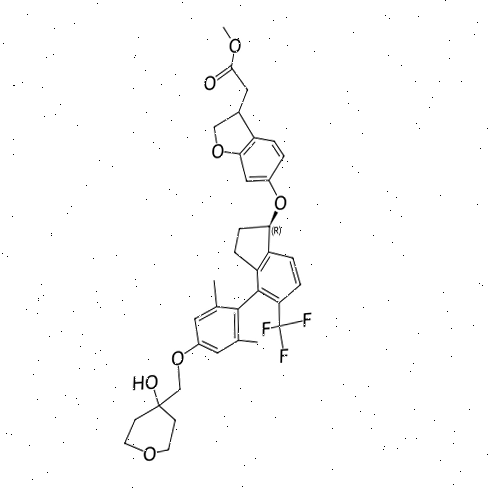 COC(=O)CC1COc2cc(O[C@@H]3CCc4c3ccc(C(F)(F)F)c4-c3c(C)cc(OCC4(O)CCOCC4)cc3C)ccc21